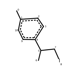 Cc1ccc(C(C)CI)cc1